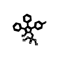 CCOP(=O)(Cn1c(-c2ccc(F)cc2)c(-c2ccccc2)c(-c2ccccc2)c1C(C)C)OCC